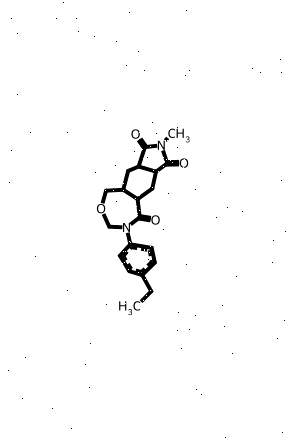 CCc1ccc(N2COCC3CC4C(=O)N(C)C(=O)C4CC3C2=O)cc1